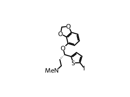 CNCC[C@H](Oc1cccc2c1OCO2)c1ccc(I)s1